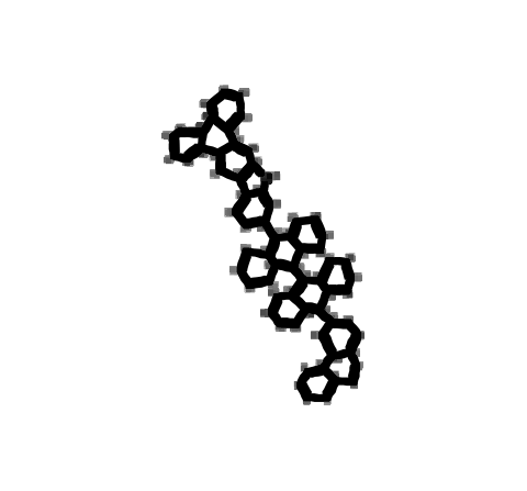 c1ccc2c(c1)ccc1ccc(-c3c4ccccc4c(-c4c5ccccc5c(-c5ccc6c(c5)oc5cc7c8ccccc8c8ccccc8c7cc56)c5ccccc45)c4ccccc34)cc12